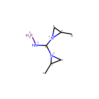 CC1CN1C(NP)N1CC1C